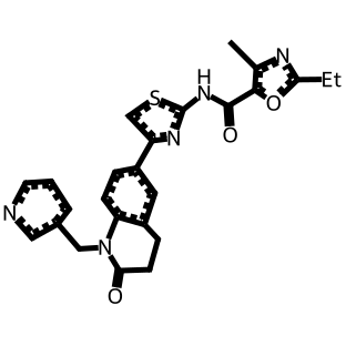 CCc1nc(C)c(C(=O)Nc2nc(-c3ccc4c(c3)CCC(=O)N4Cc3cccnc3)cs2)o1